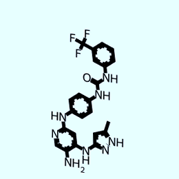 Cc1cc(Nc2cc(Nc3ccc(NC(=O)Nc4cccc(C(F)(F)F)c4)cc3)ncc2N)n[nH]1